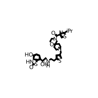 CC(C)c1nc(C(=O)N2CCOC3(CCN(Cc4csc(CCNC[C@H](O)c5ccc(O)c6[nH]c(=O)sc56)c4)CC3)C2)cs1